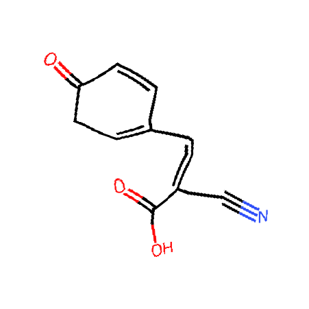 N#CC(=CC1=CCC(=O)C=C1)C(=O)O